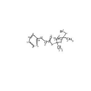 CC(C)(CBr)CC(C)(C)CC(=O)OCc1ccccc1